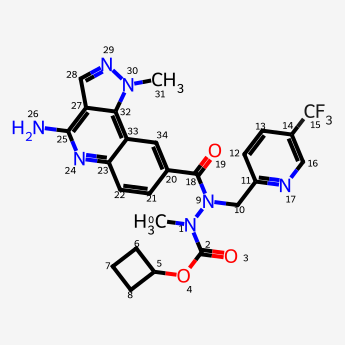 CN(C(=O)OC1CCC1)N(Cc1ccc(C(F)(F)F)cn1)C(=O)c1ccc2nc(N)c3cnn(C)c3c2c1